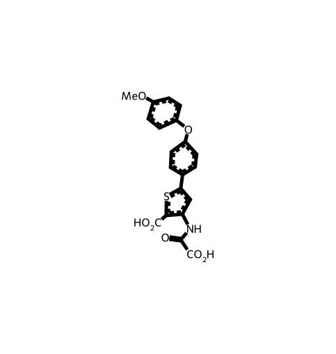 COc1ccc(Oc2ccc(-c3cc(NC(=O)C(=O)O)c(C(=O)O)s3)cc2)cc1